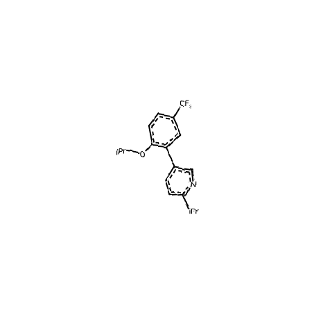 CC(C)Oc1ccc(C(F)(F)F)cc1-c1ccc(C(C)C)nc1